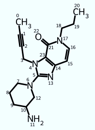 CC#CCn1c(N2CCCC(N)C2)nc2ccn(CCC)c(=O)c21